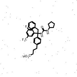 O=C(O)CCCc1ccc(C(Cc2ccccc2)(NC(=O)NC2CCCC2)c2cc(F)cc(C(F)(F)F)c2)cc1